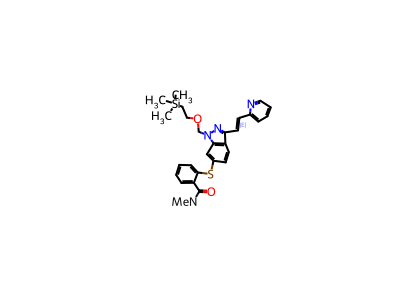 CNC(=O)c1ccccc1Sc1ccc2c(/C=C/c3ccccn3)nn(COCC[Si](C)(C)C)c2c1